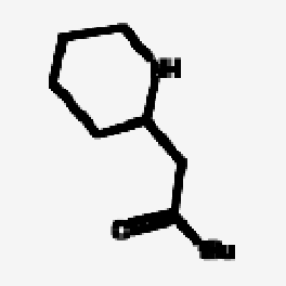 CC(C)(C)C(=O)CC1CCCCN1